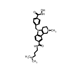 CN(C)CCCNC(=O)c1ccc2c(c1)c1c(n2Cc2ccc(C(=O)NO)cc2)CCN(C)C1